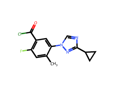 Cc1cc(F)c(C(=O)Cl)cc1-n1cnc(C2CC2)n1